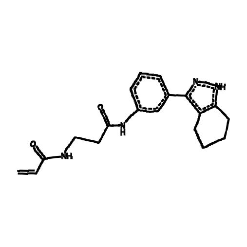 C=CC(=O)NCCC(=O)Nc1cccc(-c2n[nH]c3c2CCCC3)c1